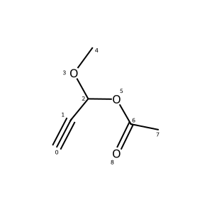 C#CC(OC)OC(C)=O